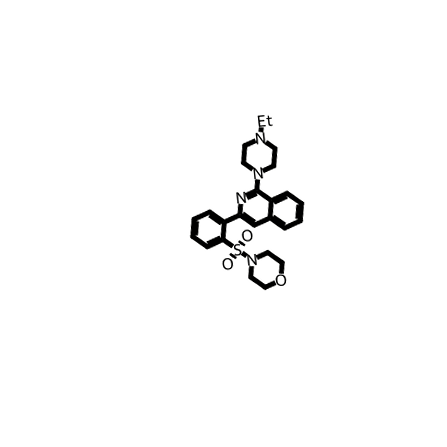 CCN1CCN(c2nc(-c3ccccc3S(=O)(=O)N3CCOCC3)cc3ccccc23)CC1